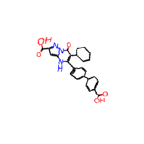 O=C(O)c1ccc(-c2ccc(-c3[nH]c4cc(C(=O)O)nn4c(=O)c3C3CCCCC3)cc2)cc1